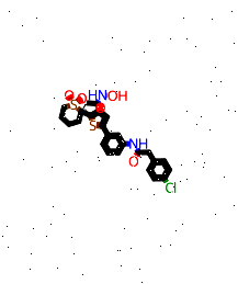 O=C(C[C@]1(c2ccc(-c3cccc(NC(=O)Cc4ccc(Cl)cc4)c3)s2)CCCCS1(=O)=O)NO